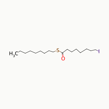 CCCCCCCCCSC(=O)CCCCCCCI